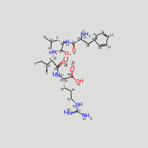 CC[C@H](C)[C@H](NC(=O)[C@H](CC(C)C)NC(=O)[C@@H](N)Cc1ccccc1)C(=O)N[C@@H](CCCNC(=N)N)C(=O)O